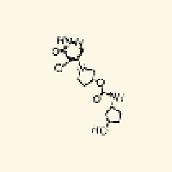 O=C(N[C@@H]1CC[C@@H](O)C1)O[C@@H]1CCN(c2cn[nH]c(=O)c2Cl)C1